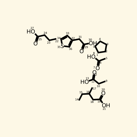 C1CCCC1.CC(=O)O.CCC(=O)O.CCC(C)CC(=O)O.CCCC(=O)O.O=C(O)Cc1ccsc1